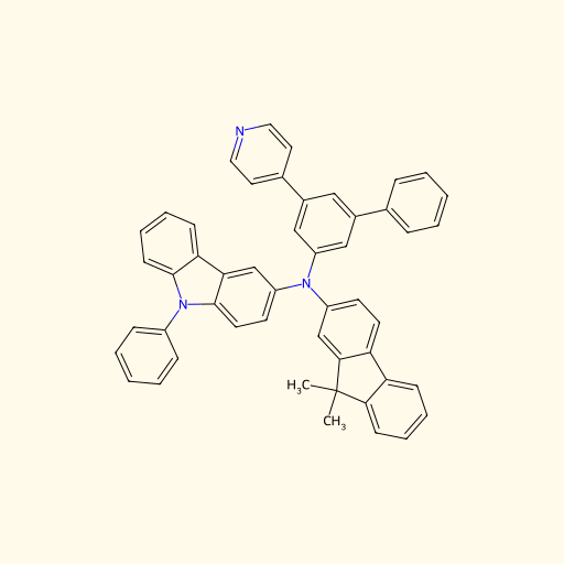 CC1(C)c2ccccc2-c2ccc(N(c3cc(-c4ccccc4)cc(-c4ccncc4)c3)c3ccc4c(c3)c3ccccc3n4-c3ccccc3)cc21